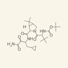 CC(C)(C)OC(=O)NC(C(=O)N1CC2[C@@H](C1C(=O)NC(CC1CC1)C(=O)C(N)=O)C2(C)C)C(C)(C)C